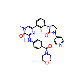 Cc1c(-c2cn(C)c(=O)c(Nc3ccc(C(=O)N4CCOCC4)cc3)n2)cccc1N1CCN(c2ccncc2)C1=O